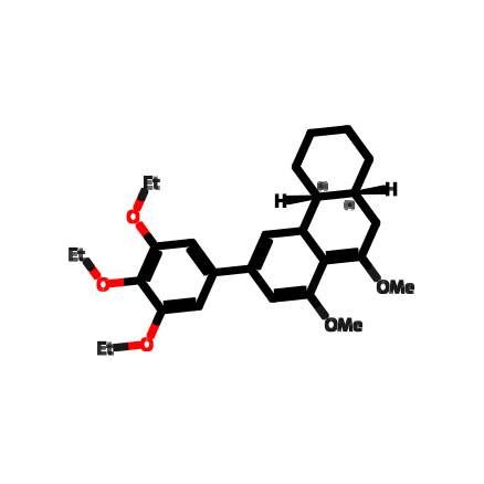 CCOc1cc(C2=CC3C(=C(OC)C[C@H]4CCCC[C@@H]34)C(OC)=C2)cc(OCC)c1OCC